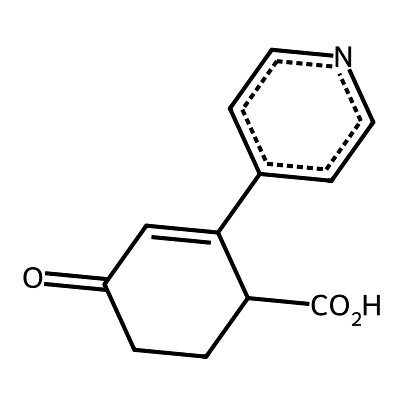 O=C1C=C(c2ccncc2)C(C(=O)O)CC1